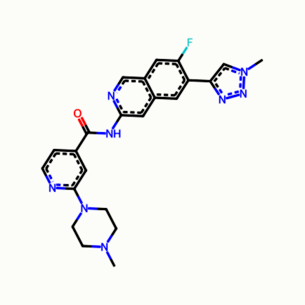 CN1CCN(c2cc(C(=O)Nc3cc4cc(-c5cn(C)nn5)c(F)cc4cn3)ccn2)CC1